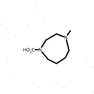 CN1CCCCN(C(=O)O)CC1